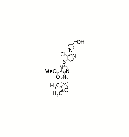 COC(=O)c1nc(Sc2ccnc(N3CCC(CO)C3)c2Cl)cnc1N1CCC2(CC1)CO[C@@H](C)[C@H]2C